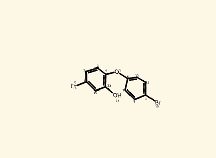 CCc1ccc(Oc2ccc(Br)cc2)c(O)c1